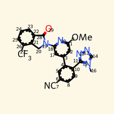 COc1cc(-c2cc(C#N)ccc2-c2nncn2C)cc(N2Cc3c(cccc3C(F)(F)F)C2=O)n1